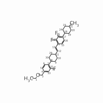 CCOCc1ccc(C2CCC(/C=C/c3ccc(C4CCC(C)CC4)c(F)c3F)CC2)c(F)c1